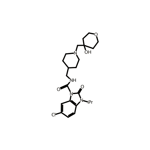 CC(C)n1c(=O)n(C(=O)NCC2CCN(CC3(O)CCOCC3)CC2)c2cc(Cl)ccc21